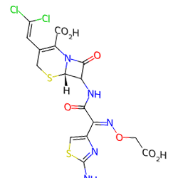 Nc1nc(C(=NOCC(=O)O)C(=O)NC2C(=O)N3C(C(=O)O)=C(C=C(Cl)Cl)CS[C@@H]23)cs1